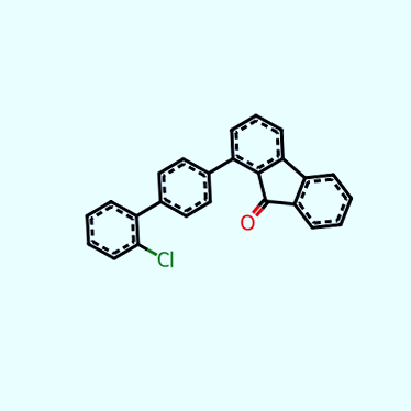 O=C1c2ccccc2-c2cccc(-c3ccc(-c4ccccc4Cl)cc3)c21